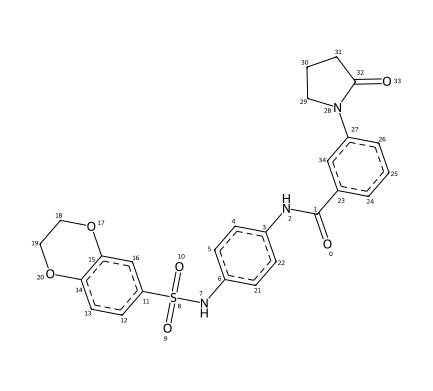 O=C(Nc1ccc(NS(=O)(=O)c2ccc3c(c2)OCCO3)cc1)c1cccc(N2CCCC2=O)c1